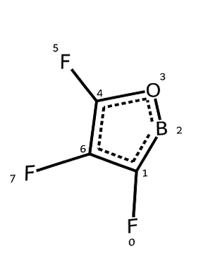 Fc1boc(F)c1F